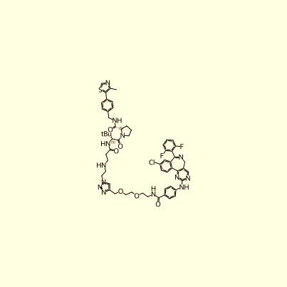 Cc1ncsc1-c1ccc(CNC(=O)[C@@H]2CCCN2C(=O)[C@@H](NC(=O)CCNCCn2cc(COCCOCCNC(=O)c3ccc(Nc4ncc5c(n4)-c4ccc(Cl)cc4C(c4c(F)cccc4F)=NC5)cc3)nn2)C(C)(C)C)cc1